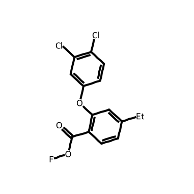 CCc1ccc(C(=O)OF)c(Oc2ccc(Cl)c(Cl)c2)c1